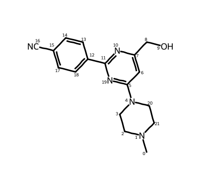 CN1CCN(c2cc(CO)nc(-c3ccc(C#N)cc3)n2)CC1